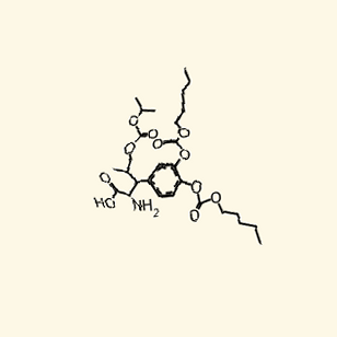 CCCCCOC(=O)Oc1ccc(C(C(C)COC(=O)OC(C)C)[C@H](N)C(=O)O)cc1OC(=O)OCCCCC